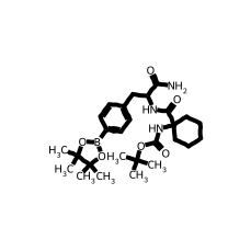 CC(C)(C)OC(=O)NC1(C(=O)NC(Cc2ccc(B3OC(C)(C)C(C)(C)O3)cc2)C(N)=O)CCCCC1